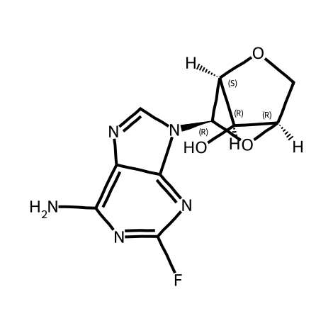 Nc1nc(F)nc2c1ncn2[C@@H]1O[C@@H]2CO[C@H]1[C@@H]2O